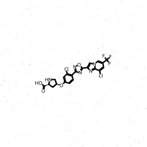 O=C(O)[C@@H]1C[C@H](Oc2ccc(-c3noc(-c4cn5cc(C(F)(F)F)cc(Cl)c5n4)n3)c(Cl)c2)CN1